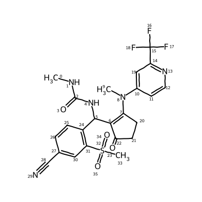 CNC(=O)NC(C1=C(N(C)c2ccnc(C(F)(F)F)c2)CCC1=O)c1ccc(C#N)cc1S(C)(=O)=O